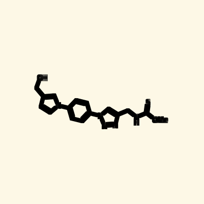 COC(=S)NCc1cn(-c2ccc(-n3ccc(CO)c3)cc2)nn1